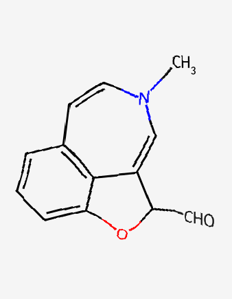 CN1C=Cc2cccc3c2C(=C1)C(C=O)O3